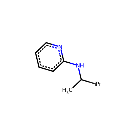 CC(C)C(C)Nc1ccccn1